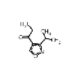 CCC(=O)c1conc1C(C)C